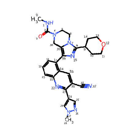 CNC(=O)N1CCn2c(C3CCOCC3)nc(-c3cccc4nc(-c5cnn(C)c5)c(C#N)cc34)c2C1